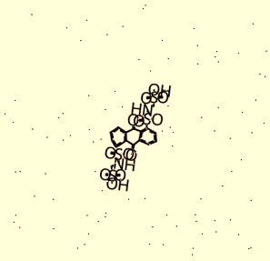 O=C1c2cccc(S(=O)(=O)NCS(=O)(=O)O)c2C(=O)c2cccc(S(=O)(=O)NCS(=O)(=O)O)c21